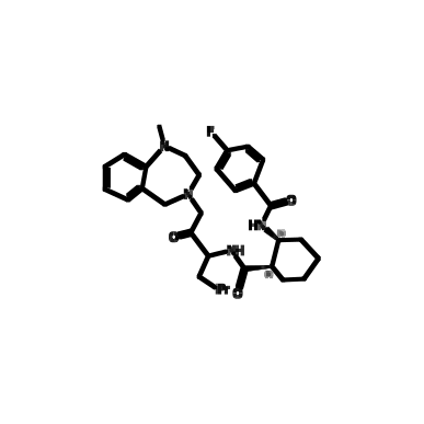 CC(C)CC(NC(=O)[C@@H]1CCCC[C@@H]1NC(=O)c1ccc(F)cc1)C(=O)CN1CCN(C)c2ccccc2C1